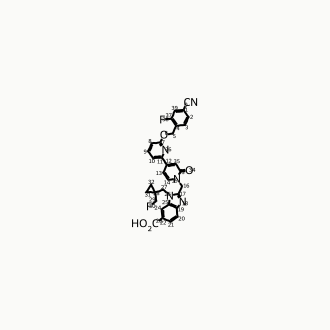 N#Cc1ccc(COc2cccc(-c3ccn(Cc4nc5ccc(C(=O)O)cc5n4CC4(CF)CC4)c(=O)c3)n2)c(F)c1